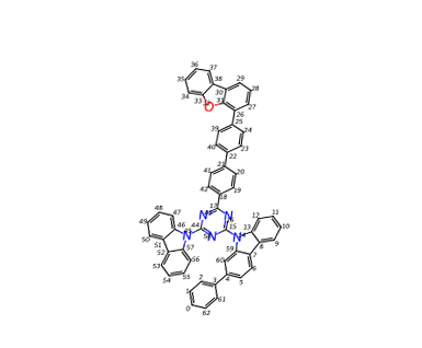 c1ccc(-c2ccc3c4ccccc4n(-c4nc(-c5ccc(-c6ccc(-c7cccc8c7oc7ccccc78)cc6)cc5)nc(-n5c6ccccc6c6ccccc65)n4)c3c2)cc1